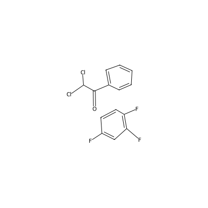 Fc1ccc(F)c(F)c1.O=C(c1ccccc1)C(Cl)Cl